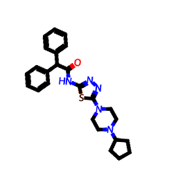 O=C(Nc1nnc(N2CCN(C3CCCC3)CC2)s1)C(c1ccccc1)c1ccccc1